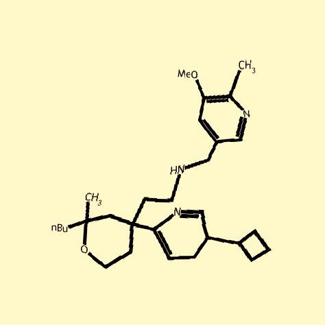 CCCCC1(C)CC(CCNCc2cnc(C)c(OC)c2)(C2=CCC(C3CCC3)C=N2)CCO1